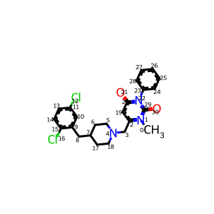 Cn1c(CN2CCC(Cc3cc(Cl)ccc3Cl)CC2)cc(=O)n(-c2ccccc2)c1=O